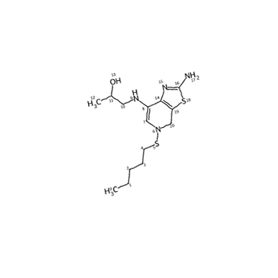 CCCCCSN1C=C(NCC(C)O)c2nc(N)sc2C1